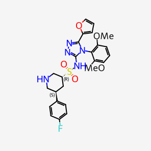 COc1cccc(OC)c1-n1c(NS(=O)(=O)[C@H]2CNC[C@H](c3ccc(F)cc3)C2)nnc1-c1ccco1